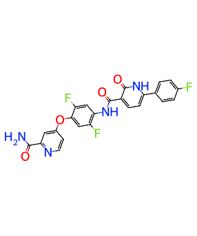 NC(=O)c1cc(Oc2cc(F)c(NC(=O)c3ccc(-c4ccc(F)cc4)[nH]c3=O)cc2F)ccn1